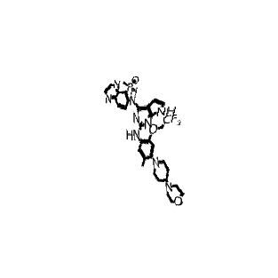 Cc1cc(Nc2nc(Nc3ccc4nccnc4c3P(C)(C)=O)c3cc[nH]c3n2)c(OCC(F)(F)F)cc1N1CCC(N2CCOCC2)CC1